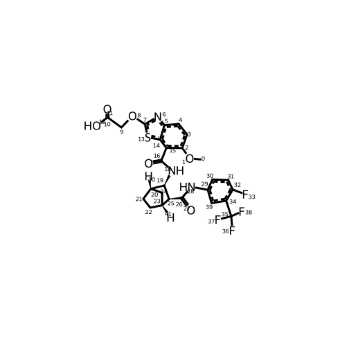 COc1ccc2nc(OCC(=O)O)sc2c1C(=O)N[C@@H]1[C@H]2CC[C@H](C2)[C@@H]1C(=O)Nc1ccc(F)c(C(F)(F)F)c1